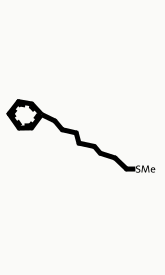 CSCCCCCCCCc1ccccc1